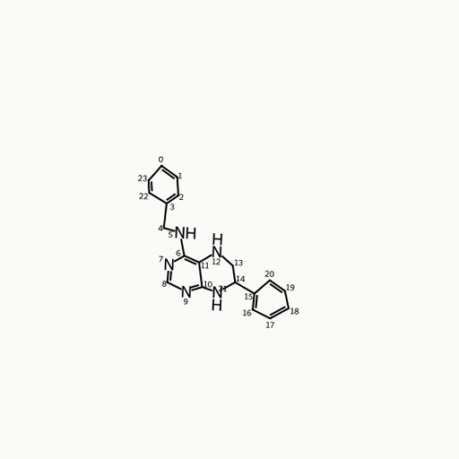 c1ccc(CNc2ncnc3c2NCC(c2ccccc2)N3)cc1